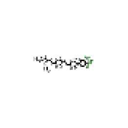 C=C(CC)CCC1CCC(CCC2CCC(c3ccc(C(F)(F)F)c(F)c3)CC2)CC1